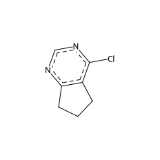 Clc1ncnc2c1CCC2